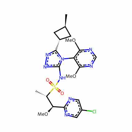 COc1ncnc(OC)c1-n1c(NS(=O)(=O)[C@@H](C)[C@H](OC)c2ncc(Cl)cn2)nnc1[C@H]1C[C@H](C)C1